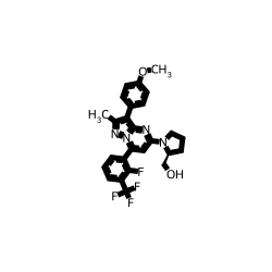 COc1ccc(-c2c(C)nn3c(-c4cccc(C(F)(F)F)c4F)cc(N4CCC[C@H]4CO)nc23)cc1